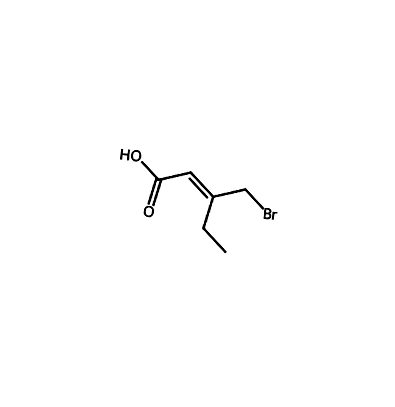 CC/C(=C\C(=O)O)CBr